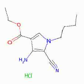 CCCCn1cc(C(=O)OCC)c(N)c1C#N.Cl